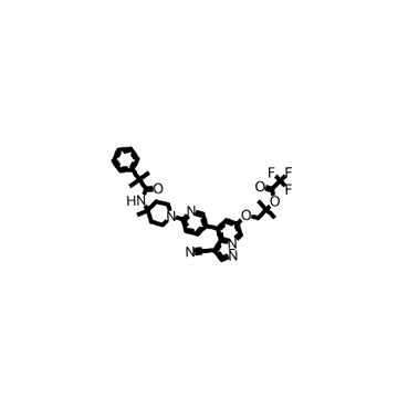 CC1(NC(=O)C(C)(C)c2ccccc2)CCN(c2ccc(-c3cc(OCC(C)(C)OC(=O)C(F)(F)F)cn4ncc(C#N)c34)cn2)CC1